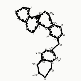 c1ccc2c(c1)ccc1c3cc(Cc4ccc5c(n4)CCCC5)ccc3ccc21